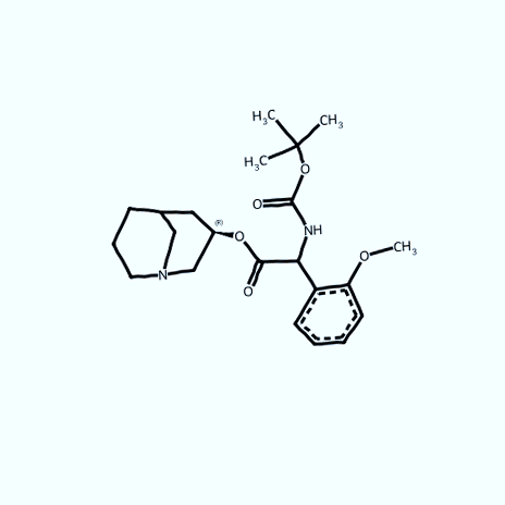 COc1ccccc1C(NC(=O)OC(C)(C)C)C(=O)O[C@@H]1CC2CCCN(C2)C1